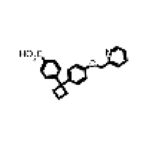 O=C(O)c1ccc(C2(c3ccc(OCc4ccccn4)cc3)CCC2)cc1